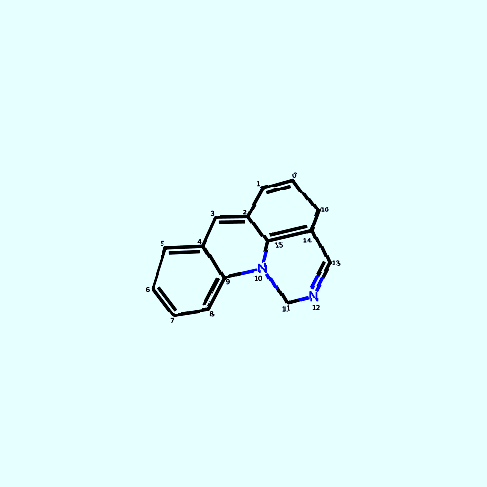 C1=CC2=Cc3ccccc3N3CN=CC(=C23)C1